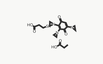 CCC(=O)O.O=C(O)CCS.O=C1C=C(N2CC2)C(=O)C(N2CC2)=C1N1CC1